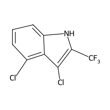 FC(F)(F)c1[nH]c2cccc(Cl)c2c1Cl